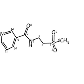 CS(=O)(=O)CCNC(=O)c1c[c]cnc1